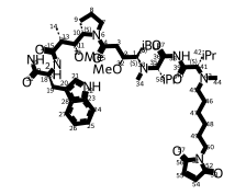 CC[C@H](C)[C@@H]([C@@H](CC(=O)N1CCC[C@H]1[C@H](OC)[C@@H](C)C(=O)N[C@@H](Cc1c[nH]c2ccccc12)C(N)=O)OC)N(C)[C@H](C(=O)NC(=O)[C@H](C(C)C)N(C)CCCCCCN1C(=O)C=CC1=O)C(C)C